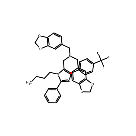 CCCCn1c(-c2ccccc2)nc(-c2ccc(C(F)(F)F)cc2)c1CN(Cc1ccc2c(c1)OCO2)Cc1ccc2c(c1)OCO2